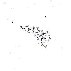 C=C(C)c1ccc(-c2ccc(CN(C(=O)C3CCCCC3)c3cccc(C=CC(=O)O)c3)cc2)cc1